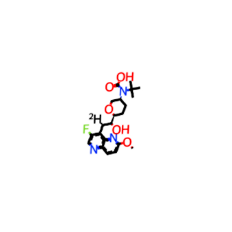 [2H][C@@H](c1c(F)cnc2ccc(OC)nc12)C(O)[C@@H]1CC[C@@H](N(C(=O)O)C(C)(C)C)CO1